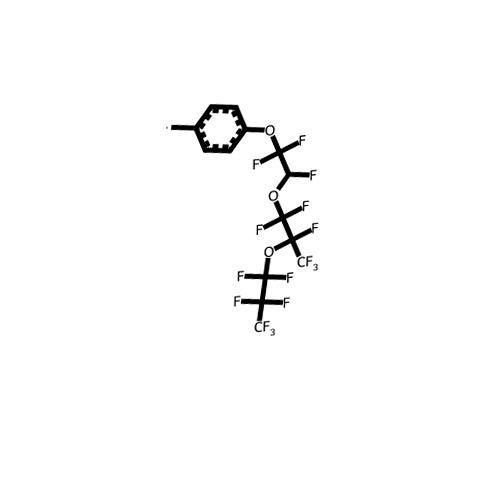 [CH2]c1ccc(OC(F)(F)C(F)OC(F)(F)C(F)(OC(F)(F)C(F)(F)C(F)(F)F)C(F)(F)F)cc1